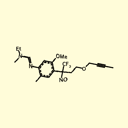 CC#CCOCCC(N=O)(c1cc(C)c(/N=C/N(C)CC)cc1OC)C(F)(F)F